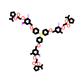 Cc1cc(COc2ccc([S+](c3ccc(OCc4cc(C)c(OCC(=O)OC5(C(C)C)CCCC5)c(I)c4)cc3)c3ccc(OCc4cc(I)c(OCC(=O)OC5(C(C)C)CCCC5)c(I)c4)cc3)cc2)cc(I)c1OCC(=O)OC1(C(C)C)CCCC1